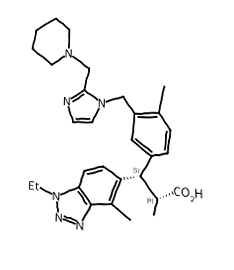 CCn1nnc2c(C)c([C@H](c3ccc(C)c(Cn4ccnc4CN4CCCCC4)c3)[C@@H](C)C(=O)O)ccc21